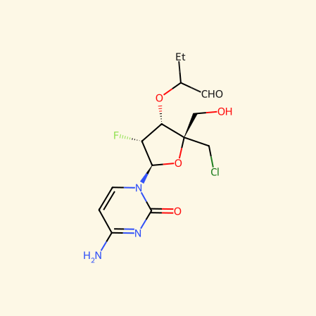 CCC(C=O)O[C@H]1[C@@H](F)[C@H](n2ccc(N)nc2=O)O[C@@]1(CO)CCl